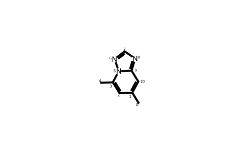 Cc1cc(C)n2n[c]nc2c1